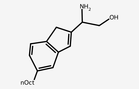 CCCCCCCCc1ccc2c(c1)C=C(C(N)CO)C2